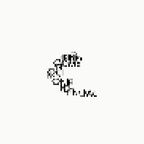 COc1nc(-c2ccnc(-c3cccc(Nc4nccc(CNC5CCN(C(C)=O)CC5)c4F)c3C)c2Cl)ccc1CNC[C@H]1CCC(=O)N1